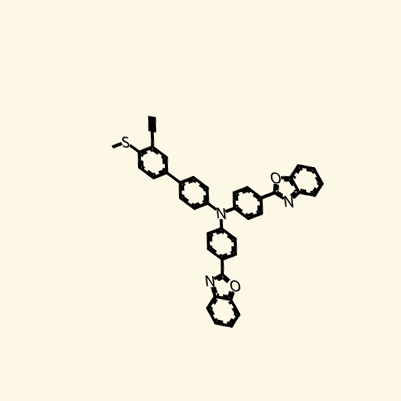 C#Cc1cc(-c2ccc(N(c3ccc(-c4nc5ccccc5o4)cc3)c3ccc(-c4nc5ccccc5o4)cc3)cc2)ccc1SC